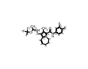 Cc1c(SNC(C)OC(F)(F)F)c2n(c1C(=O)Nc1ccc(F)c(F)c1)CCCC=C2